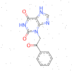 O=C(Cn1c(=O)[nH]c(=O)c2[nH]cnc21)c1ccccc1